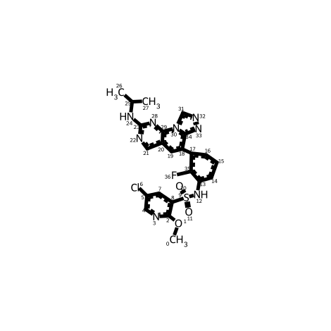 COc1ncc(Cl)cc1S(=O)(=O)Nc1cccc(-c2cc3cnc(NC(C)C)nc3n3cnnc23)c1F